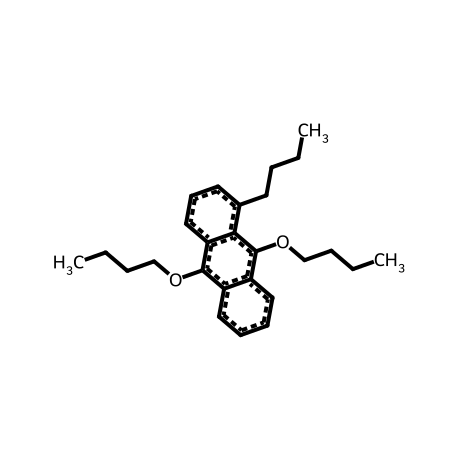 CCCCOc1c2ccccc2c(OCCCC)c2c(CCCC)cccc12